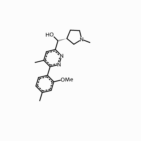 COc1cc(C)ccc1-c1nnc(C(O)[C@@H]2CCN(C)C2)cc1C